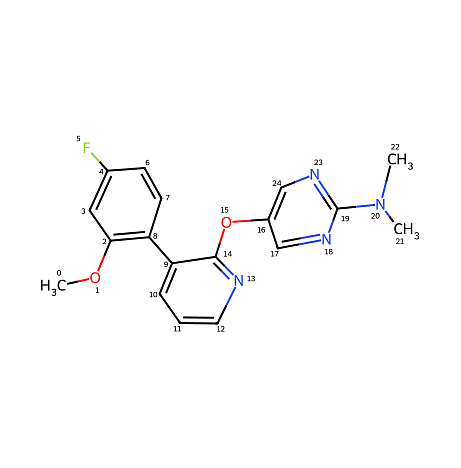 COc1cc(F)ccc1-c1cccnc1Oc1cnc(N(C)C)nc1